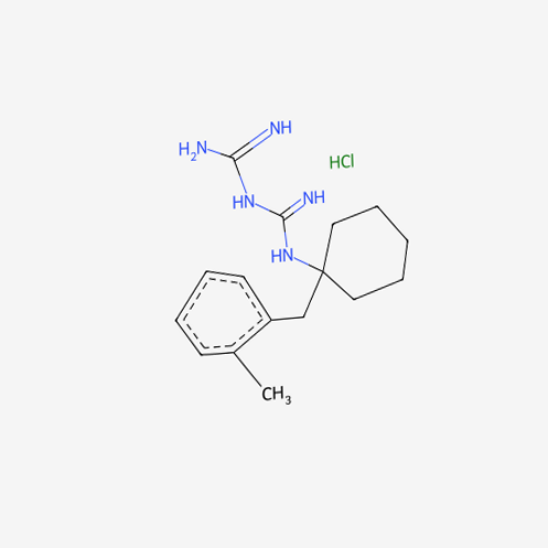 Cc1ccccc1CC1(NC(=N)NC(=N)N)CCCCC1.Cl